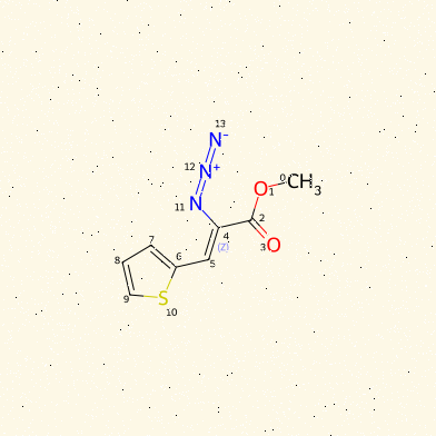 COC(=O)/C(=C/c1cccs1)N=[N+]=[N-]